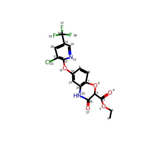 CCOC(=O)C1Oc2ccc(Oc3ncc(C(F)(F)F)cc3Cl)cc2NC1=O